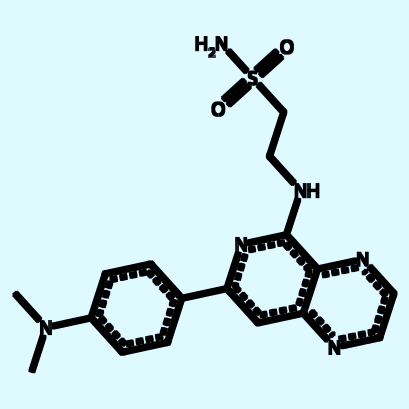 CN(C)c1ccc(-c2cc3nccnc3c(NCCS(N)(=O)=O)n2)cc1